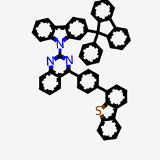 c1ccc(C2(c3ccc4c5ccccc5n(-c5nc(-c6ccc(-c7cccc8c7sc7ccccc78)cc6)c6ccccc6n5)c4c3)c3ccccc3-c3ccccc32)cc1